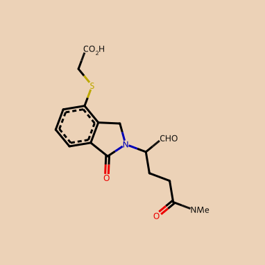 CNC(=O)CCC(C=O)N1Cc2c(SCC(=O)O)cccc2C1=O